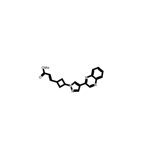 COC(=O)C=CC1CC(n2cc(-c3cnc4ccccc4n3)cn2)C1